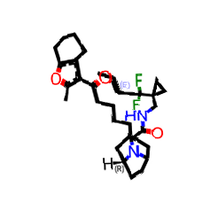 C/C=C/C(F)(F)C1(CNC(=O)CN2C3CC[C@@H]2CC(CCCCC(=O)c2c(C)oc4c2CCCC4)C3)CC1